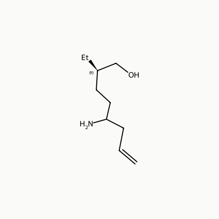 C=CCC(N)CC[C@@H](CC)CO